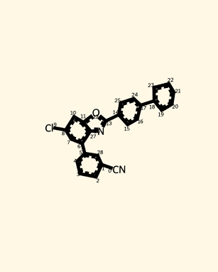 N#Cc1cccc(-c2cc(Cl)cc3oc(-c4ccc(-c5ccccc5)cc4)nc23)c1